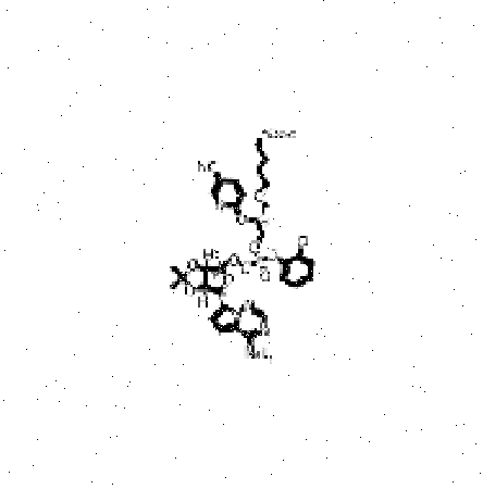 CCCCCCCCCCCCCCOC[C@H](COP(=O)(OO[C@@]1(C)O[C@@H](c2ccc3c(N)ncnn23)[C@@H]2OC(C)(C)O[C@@H]21)Oc1ccccc1Cl)Oc1ccc(C#N)cn1